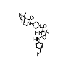 Cc1ncn2c1C(=O)N(C1CCN(C(=O)[C@H](NC(=O)Nc3ccc(CI)cc3)C(C)(C)C)CC1)CC2